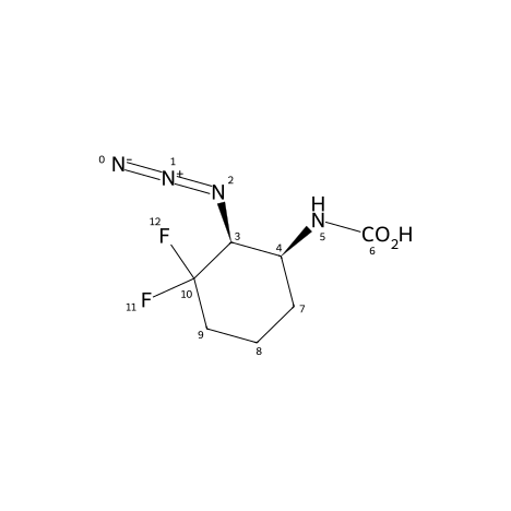 [N-]=[N+]=N[C@H]1[C@@H](NC(=O)O)CCCC1(F)F